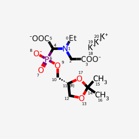 CCN(CC(=O)[O-])C(C(=O)[O-])P(=O)([O-])OC[C@H]1COC(C)(C)O1.[K+].[K+].[K+]